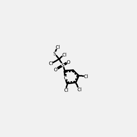 O=S(=O)(c1cc(Cl)c(Cl)c(Cl)c1)C(Cl)(Cl)SCl